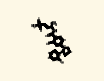 C[C@H](/C=C/S(C)(=O)=O)NC(=O)c1ccc(N2CCC[C@H]2c2ccccc2F)cc1F